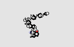 Cc1cc2c(n1/C=C\N(C=O)c1nccc(-c3cc(Nc4ccc(N5CCN(C6COC6)CC5)cn4)c(=O)n(C)c3)c1C=O)CCCC2